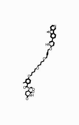 Cc1cc(OCCCCOCCCCOCC#CCOC2C=CC(c3ccc4c5cnccc5n(C)c4c3)=CN2)ccc1C(=O)N(C=O)C1CCC(=O)NC1=O